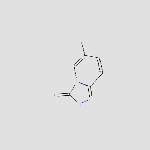 C=C1NN=C2C=CC(C(C)C)=CN12